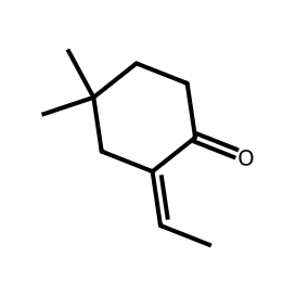 C/C=C1/CC(C)(C)CCC1=O